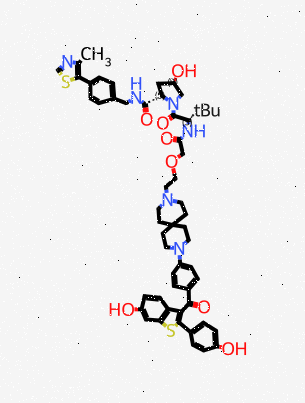 Cc1ncsc1-c1ccc(CNC(=O)[C@@H]2C[C@@H](O)CN2C(=O)[C@@H](NC(=O)COCCN2CCC3(CC2)CCN(c2ccc(C(=O)c4c(-c5ccc(O)cc5)sc5cc(O)ccc45)cc2)CC3)C(C)(C)C)cc1